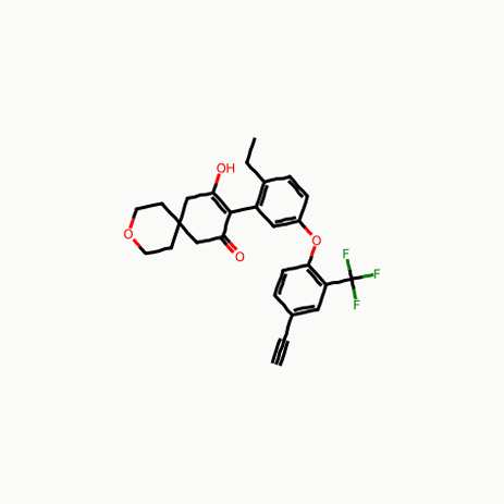 C#Cc1ccc(Oc2ccc(CC)c(C3=C(O)CC4(CCOCC4)CC3=O)c2)c(C(F)(F)F)c1